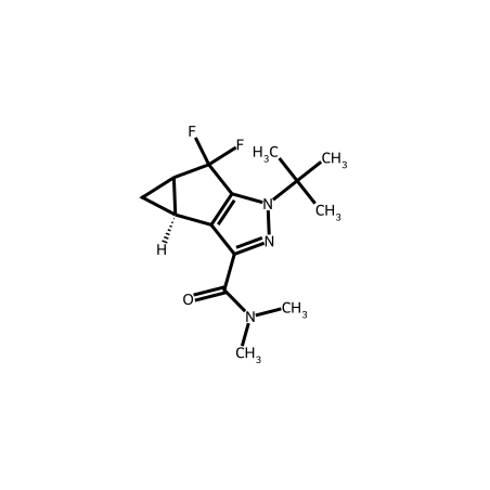 CN(C)C(=O)c1nn(C(C)(C)C)c2c1[C@H]1CC1C2(F)F